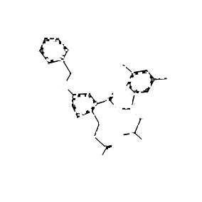 Cc1cc(C)cc([C@@H](CC(C)C)NC(=O)c2cc(OCc3ccccc3)ccc2CCC(=O)O)c1